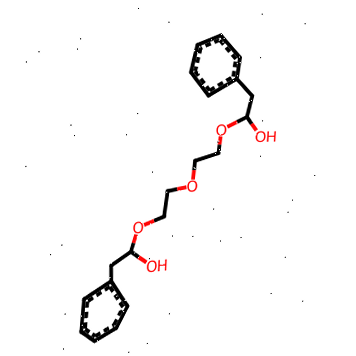 OC(Cc1ccccc1)OCCOCCOC(O)Cc1ccccc1